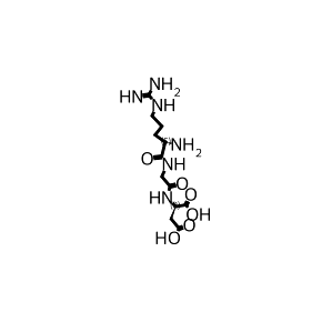 N=C(N)NCCC[C@H](N)C(=O)NCC(=O)N[C@H](CC(=O)O)C(=O)O